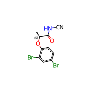 C[C@H](Oc1ccc(Br)cc1Br)C(=O)NC#N